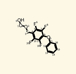 OOOSc1c(F)c(F)c(Oc2ccccc2)c(F)c1F